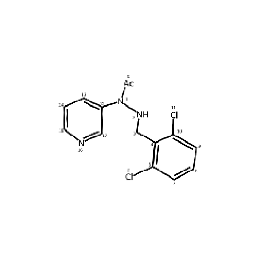 CC(=O)N(NCc1c(Cl)cccc1Cl)c1cccnc1